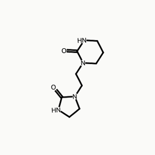 O=C1NCCCN1CCN1CCNC1=O